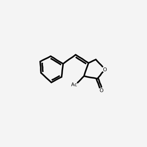 CC(=O)C1C(=O)OCC1=Cc1ccccc1